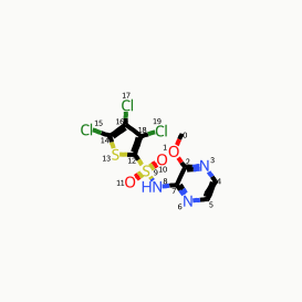 COc1nccnc1NS(=O)(=O)c1sc(Cl)c(Cl)c1Cl